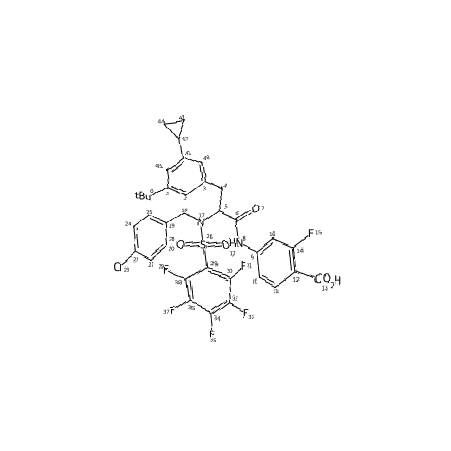 CC(C)(C)c1cc(CC(C(=O)Nc2ccc(C(=O)O)c(F)c2)N(Cc2ccc(Cl)cc2)S(=O)(=O)c2c(F)c(F)c(F)c(F)c2F)cc(C2CC2)c1